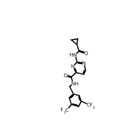 O=C(NCc1cc(C(F)(F)F)cc(C(F)(F)F)c1)c1ccnc(NC(=O)C2CC2)n1